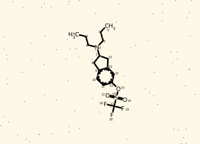 CCCN(CCC)C1Cc2ccc(OS(=O)(=O)C(F)(F)F)cc2C1